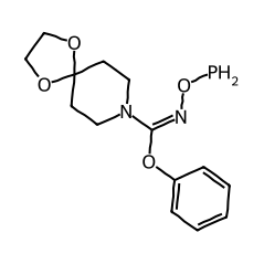 PO/N=C(/Oc1ccccc1)N1CCC2(CC1)OCCO2